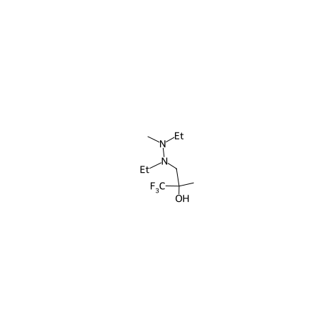 CCN(C)N(CC)CC(C)(O)C(F)(F)F